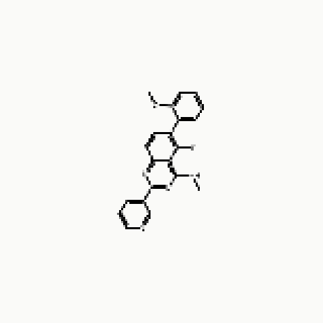 CNc1nc(-c2cccnc2)nc2ccc(-c3ccccc3OC)c(F)c12